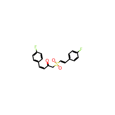 O=C(/C=C\c1ccc(F)cc1)CS(=O)(=O)/C=C/c1ccc(F)cc1